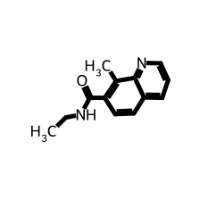 CCNC(=O)c1ccc2cccnc2c1C